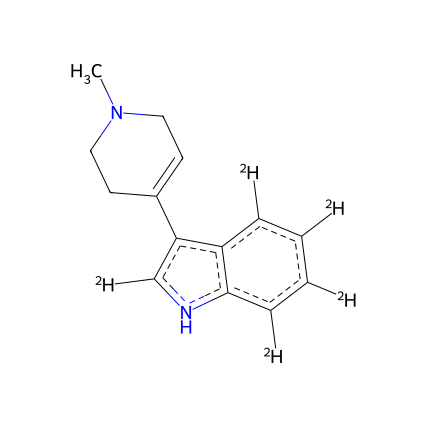 [2H]c1[nH]c2c([2H])c([2H])c([2H])c([2H])c2c1C1=CCN(C)CC1